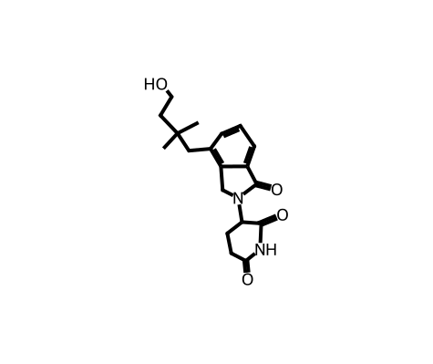 CC(C)(CCO)Cc1cccc2c1CN(C1CCC(=O)NC1=O)C2=O